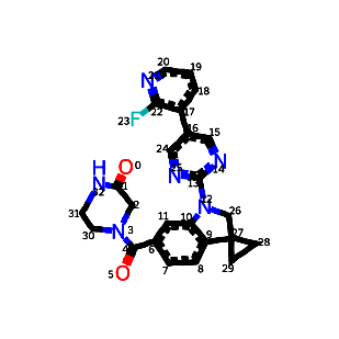 O=C1CN(C(=O)c2ccc3c(c2)N(c2ncc(-c4cccnc4F)cn2)CC32CC2)CCN1